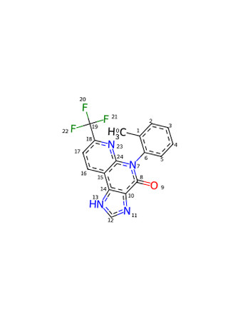 Cc1ccccc1-n1c(=O)c2nc[nH]c2c2ccc(C(F)(F)F)nc21